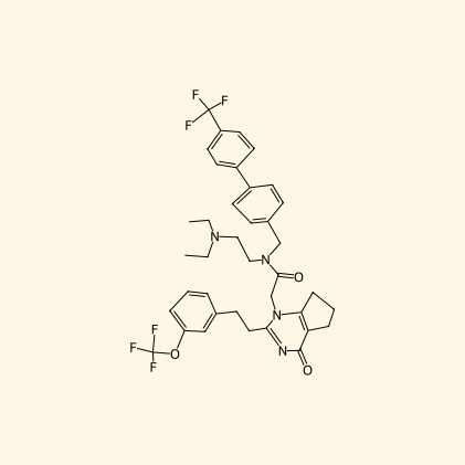 CCN(CC)CCN(Cc1ccc(-c2ccc(C(F)(F)F)cc2)cc1)C(=O)Cn1c(CCc2cccc(OC(F)(F)F)c2)nc(=O)c2c1CCC2